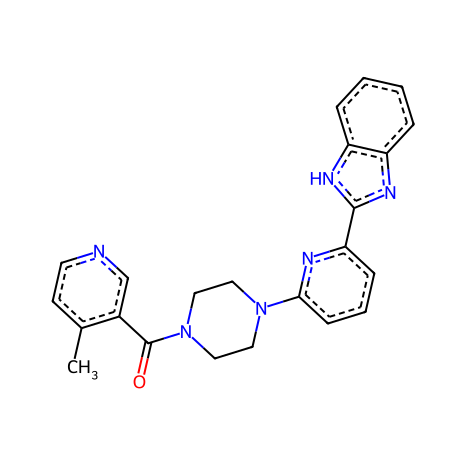 Cc1ccncc1C(=O)N1CCN(c2cccc(-c3nc4ccccc4[nH]3)n2)CC1